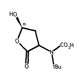 CC(C)(C)N(C(=O)O)C1C[C@H](O)OC1=O